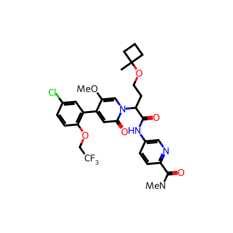 CNC(=O)c1ccc(NC(=O)C(CCOC2(C)CCC2)n2cc(OC)c(-c3cc(Cl)ccc3OCC(F)(F)F)cc2=O)cn1